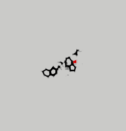 CC(C)[C@@]12C[C@@H](OC(=O)CO)[C@@](C)(O1)[C@@H]1CC[C@@H](C)[C@H]1[C@@H]2OC(=O)c1ccc2c(c1)CCCC2